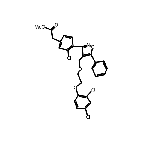 COC(=O)Cc1ccc(-c2noc(-c3ccccc3)c2COCCOc2ccc(Cl)cc2Cl)c(Cl)c1